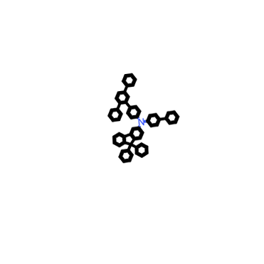 c1ccc(-c2ccc(N(c3ccc(-c4cc(-c5ccccc5)ccc4-c4ccccc4)cc3)c3ccc4c(c3)-c3ccccc3C4(c3ccccc3)c3ccccc3)cc2)cc1